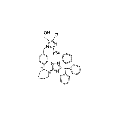 CCCCc1nc(Cl)c(CO)n1Cc1ccc([C@H]2CCCC[C@@H]2c2nnn(C(c3ccccc3)(c3ccccc3)c3ccccc3)n2)cc1